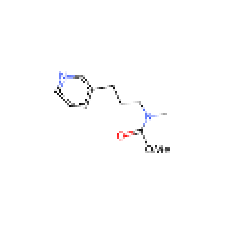 COC(=O)N(C)CCCc1cccnc1